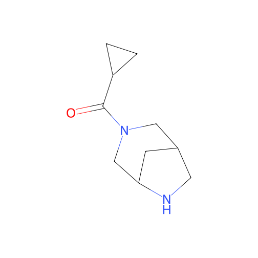 O=C(C1CC1)N1CC2CNC(C2)C1